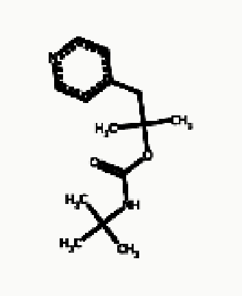 CC(C)(C)NC(=O)OC(C)(C)Cc1ccncc1